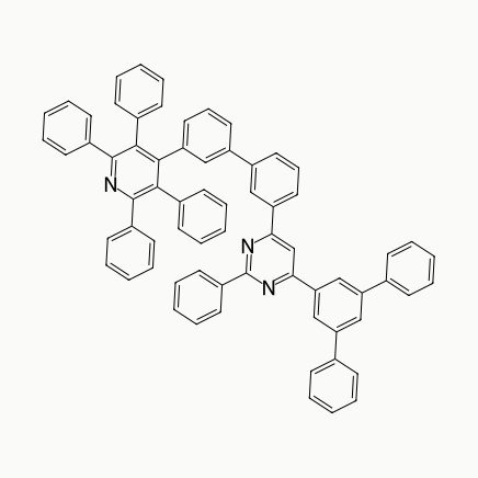 c1ccc(-c2cc(-c3ccccc3)cc(-c3cc(-c4cccc(-c5cccc(-c6c(-c7ccccc7)c(-c7ccccc7)nc(-c7ccccc7)c6-c6ccccc6)c5)c4)nc(-c4ccccc4)n3)c2)cc1